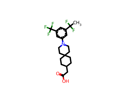 CC(F)(F)c1cc(N2CCC3(CCC(CC(=O)O)CC3)CC2)cc(C(F)(F)F)c1